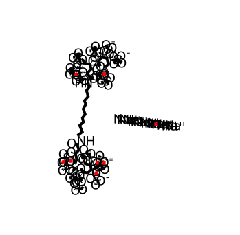 O=C(NCCCCCCCCCCCCNC(=O)[C@H](OS(=O)(=O)[O-])[C@H](OS(=O)(=O)[O-])[C@@H](O[C@H]1O[C@@H](COS(=O)(=O)[O-])[C@@H](OS(=O)(=O)[O-])[C@@H](OS(=O)(=O)[O-])[C@@H]1OS(=O)(=O)[O-])[C@H](COS(=O)(=O)[O-])OS(=O)(=O)[O-])[C@@H](OS(=O)(=O)[O-])[C@H](OS(=O)(=O)[O-])[C@@H](O[C@H]1O[C@@H](COS(=O)(=O)[O-])[C@@H](OS(=O)(=O)[O-])[C@@H](OS(=O)(=O)[O-])[C@@H]1OS(=O)(=O)[O-])[C@H](COS(=O)(=O)[O-])OS(=O)(=O)[O-].[Na+].[Na+].[Na+].[Na+].[Na+].[Na+].[Na+].[Na+].[Na+].[Na+].[Na+].[Na+].[Na+].[Na+].[Na+].[Na+]